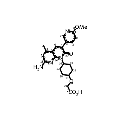 COc1ccc(-c2cc3c(C)nc(N)nc3n(C3CCC(OCC(=O)O)CC3)c2=O)cn1